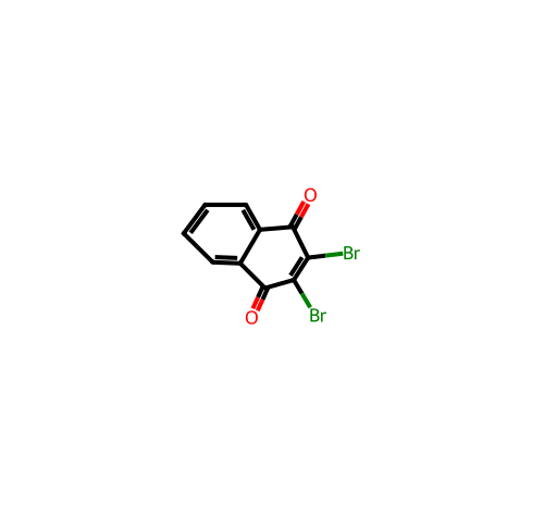 O=C1C(Br)=C(Br)C(=O)c2ccccc21